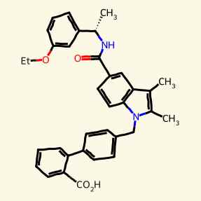 CCOc1cccc([C@H](C)NC(=O)c2ccc3c(c2)c(C)c(C)n3Cc2ccc(-c3ccccc3C(=O)O)cc2)c1